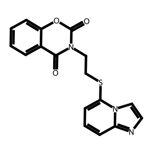 O=c1oc2ccccc2c(=O)n1CCSc1cccc2nccn12